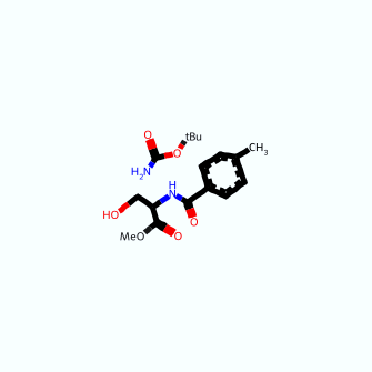 CC(C)(C)OC(N)=O.COC(=O)C(CO)NC(=O)c1ccc(C)cc1